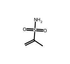 C=C(C)S(N)(=O)=O